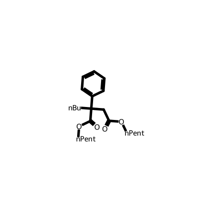 CCCCCOC(=O)CC(CCCC)(C(=O)OCCCCC)c1ccccc1